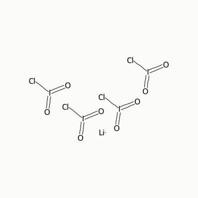 O=I(=O)Cl.O=I(=O)Cl.O=I(=O)Cl.O=I(=O)Cl.[Li]